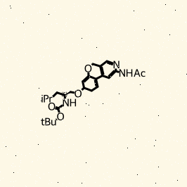 CC(=O)Nc1cc2c(cn1)COC1=CC(OC[C@H](CC(C)C)NC(=O)OC(C)(C)C)CC=C12